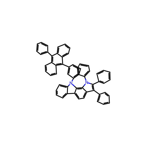 c1ccc(-c2c3ccccc3c(-c3cccc(-n4c5ccccc5c5ccc6c(-c7ccccc7)c(-c7ccccc7)n(-c7ccccc7)c6c54)c3)c3ccccc23)cc1